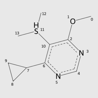 COc1ncnc(C2CC2)c1[SH](C)C